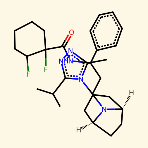 Cc1nnc(C(C)C)n1C1C[C@H]2CC[C@@H](C1)N2CCC(NC(=O)C1(F)CCCCC1F)c1ccccc1